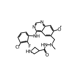 COc1cc2ncnc(Nc3cccc(Cl)c3F)c2cc1CN(C)NC(=O)C1CNC1